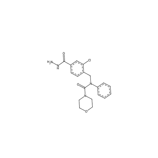 NNC(=O)c1ccc(CN(C(=O)N2CCOCC2)c2ccccc2)c(Cl)c1